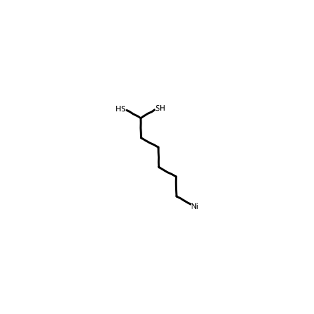 SC(S)CCCC[CH2][Ni]